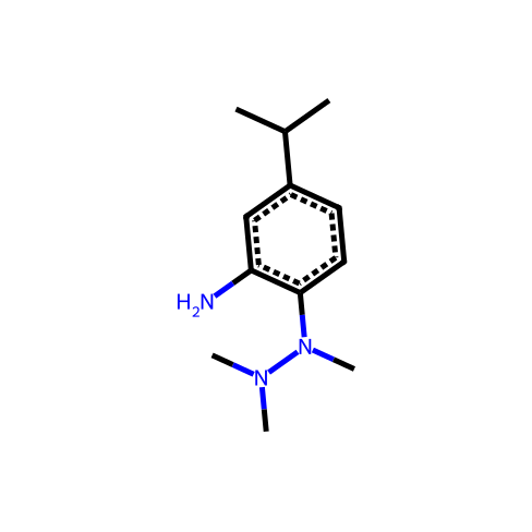 CC(C)c1ccc(N(C)N(C)C)c(N)c1